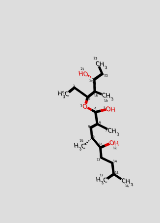 CCC(OC(O)C(C)C[C@@H](C)C(O)CCC(C)C)C(C)[C@H](O)CC